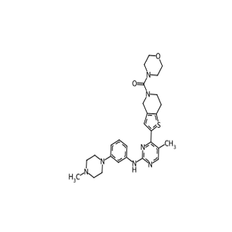 Cc1cnc(Nc2cccc(N3CCN(C)CC3)c2)nc1-c1cc2c(s1)CCN(C(=O)N1CCOCC1)C2